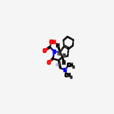 CN(C)/C=C1/C(=O)N(C(=O)O)[C@@H]2C3=C(CCCC3)C[C@H]12